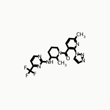 Cc1ccc(C(=O)N2CCCC(Nc3nccc(C(F)(F)F)n3)C2C)c(-n2ccnn2)n1